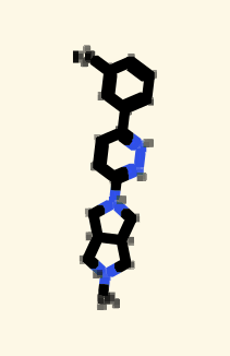 Cc1cccc(-c2ccc(N3CC4CN(C)CC4C3)nn2)c1